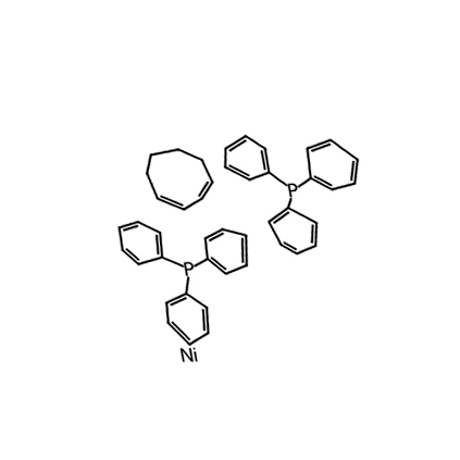 C1=CCCCCC=C1.[Ni].c1ccc(P(c2ccccc2)c2ccccc2)cc1.c1ccc(P(c2ccccc2)c2ccccc2)cc1